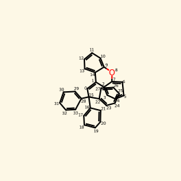 C(=C1c2ccccc2Oc2ccccc21)C(c1ccccc1)(c1ccccc1)c1ccccc1